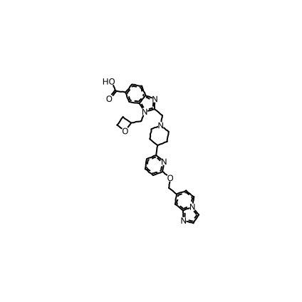 O=C(O)c1ccc2nc(CN3CCC(c4cccc(OCc5ccn6ccnc6c5)n4)CC3)n(CC3CCO3)c2c1